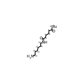 CC(C)(C)C(=O)CCCCC(=O)NCCCCCCN